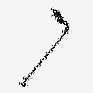 C[C@]12C[C@@H]3O[C@]45C=CC(=O)C=C4[C@@H](F)C[C@@H]([C@@H]1C[C@H]1O[C@@H](c4ccc(Oc6ccc(NC(=O)CCOCCOCCOCCOCCOCCOCCOCCOCCOCCOCCOCCOCCNC(=O)CCN7C(=O)C=CC7=O)cc6)cc4)O[C@]12C(=O)CO)[C@]35F